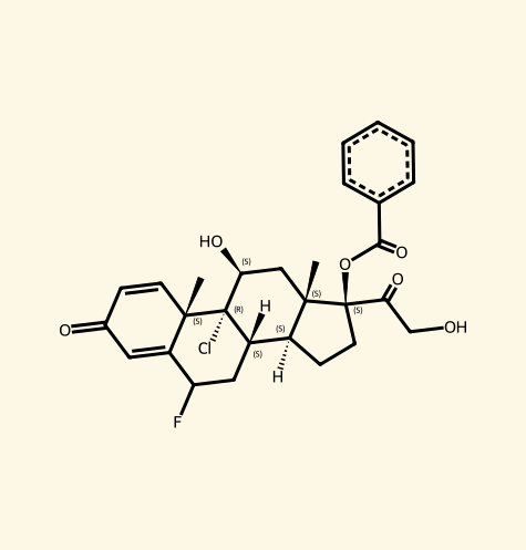 C[C@]12C=CC(=O)C=C1C(F)C[C@H]1[C@@H]3CC[C@@](OC(=O)c4ccccc4)(C(=O)CO)[C@@]3(C)C[C@H](O)[C@@]12Cl